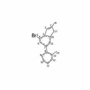 CC1=Cc2c(Br)cc(-c3ccccc3C)cc2C1